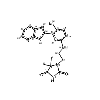 CC1(C)C(=O)NC(=O)N1CCNc1ncc(Br)c(-c2nc3ccncc3s2)n1